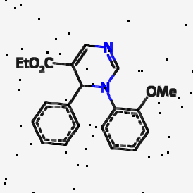 CCOC(=O)C1=CN=CN(c2ccccc2OC)C1c1ccccc1